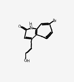 O=c1cc(CCO)c2ccc(Br)cc2[nH]1